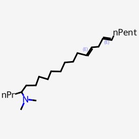 CCCCC/C=C/C/C=C/CCCCCCCCCC(CCC)N(C)C